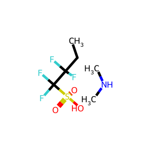 CCC(F)(F)C(F)(F)S(=O)(=O)O.CNC